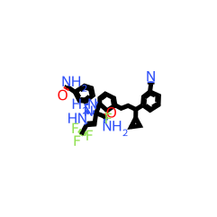 N#Cc1cccc(C(CCC2=CC=CC(N)(C3(C(N)=O)C=C(C(F)(F)F)NN3c3cccc(C(N)=O)c3)C2F)C2CC2)c1